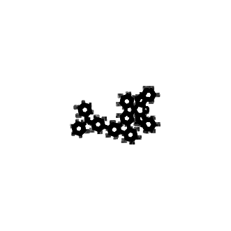 c1ccc(N(c2ccccc2)c2ccc(-c3ccc(-c4ccccc4-c4ccc5c(c4)C4(c6ccccc6-5)c5ccc6ccccc6c5Oc5c4ccc4ccccc54)cc3)cc2)cc1